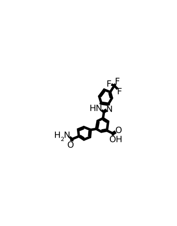 NC(=O)c1ccc(-c2cc(C(=O)O)cc(-c3nc4cc(C(F)(F)F)ccc4[nH]3)c2)cc1